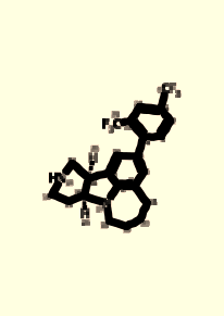 FC(F)(F)c1ccc(-c2cc3c4c(c2)[C@@H]2CNCC[C@@H]2N4CCCC3)c(C(F)(F)F)c1